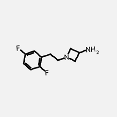 NC1CN(CCc2cc(F)ccc2F)C1